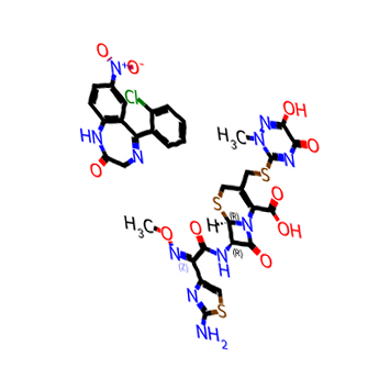 CO/N=C(\C(=O)N[C@@H]1C(=O)N2C(C(=O)O)=C(CSc3nc(=O)c(O)nn3C)CS[C@H]12)c1csc(N)n1.O=C1CN=C(c2ccccc2Cl)c2cc([N+](=O)[O-])ccc2N1